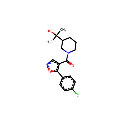 CC(C)(O)C1CCCN(C(=O)c2cnoc2-c2ccc(Cl)cc2)C1